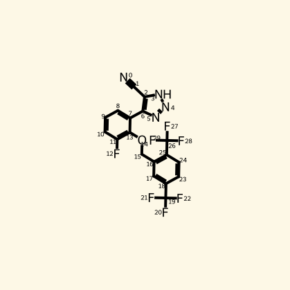 N#Cc1[nH]nnc1-c1cccc(F)c1OCc1cc(C(F)(F)F)ccc1C(F)(F)F